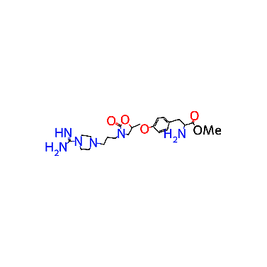 COC(=O)C(N)Cc1ccc(OCC2CN(CCCN3CCN(C(=N)N)CC3)C(=O)O2)cc1